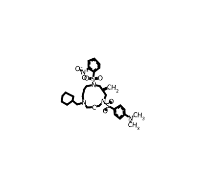 C=C1CN(S(=O)(=O)c2ccc(N(C)C)cc2)CCCN(CC2CCCCC2)CCCN(S(=O)(=O)c2ccccc2[N+](=O)[O-])C1